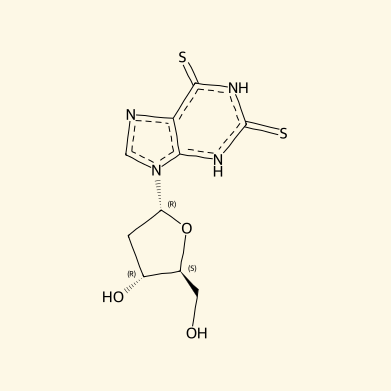 OC[C@@H]1O[C@@H](n2cnc3c(=S)[nH]c(=S)[nH]c32)C[C@H]1O